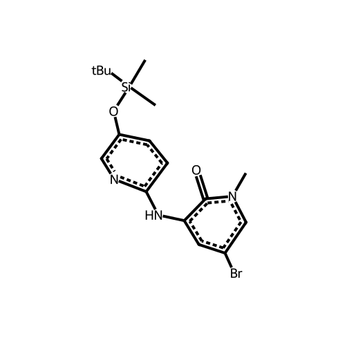 Cn1cc(Br)cc(Nc2ccc(O[Si](C)(C)C(C)(C)C)cn2)c1=O